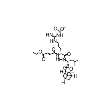 CCOC(=O)/C=C/C(=O)N[C@@H](CCCNC(=N)N[N+](=O)[O-])C(=O)N[C@@H](CC(C)C)B1O[C@@H]2C[C@@H]3C[C@@H](C3(C)C)[C@]2(C)O1